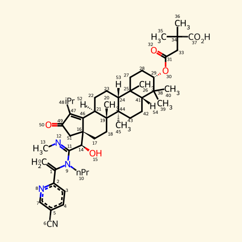 C=C(c1ccc(C#N)cn1)N(CCC)/C(=N\C)[C@H](O)[C@@]12CC[C@]3(C)[C@H](CC[C@@H]4C5(C)CC[C@H](OC(=O)CC(C)(C)C(=O)O)C(C)(C)[C@@H]5CC[C@]43C)C1=C(C(C)C)C(=O)C2